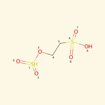 O=[SH](=O)OCCS(=O)(=O)O